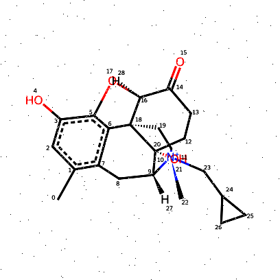 Cc1cc(O)c2c3c1C[C@@H]1[C@]4(O)CCC(=O)[C@H](O2)[C@]34CC[N@+]1(C)CC1CC1